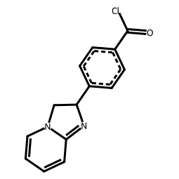 O=C(Cl)c1ccc(C2CN3C=CC=CC3=N2)cc1